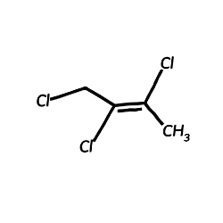 C/C(Cl)=C(\Cl)CCl